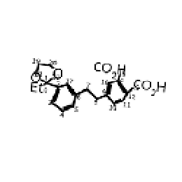 CCC1(c2cccc(CCc3ccc(C(=O)O)c(C(=O)O)c3)c2)OCCO1